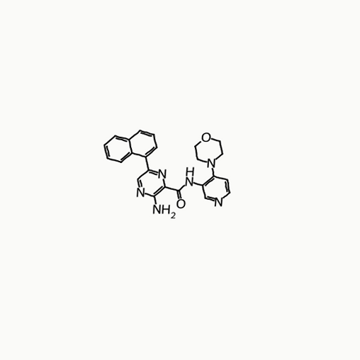 Nc1ncc(-c2cccc3ccccc23)nc1C(=O)Nc1cnccc1N1CCOCC1